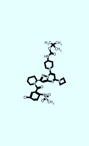 CC(C)(C)OC(=O)NC1CCN(c2cc(N3CCC3)nc3cc([C@@H]4CCCCN4C(=O)c4cc(Cl)ccc4NS(C)(=O)=O)nn23)CC1